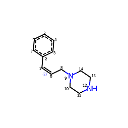 C(=C/c1ccccc1)/CN1CCNCC1